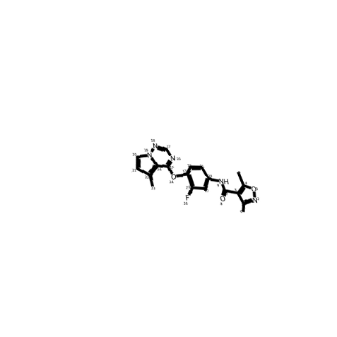 Cc1noc(C)c1C(=O)Nc1ccc(Oc2ncnn3ccc(C)c23)c(F)c1